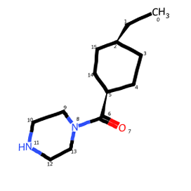 CC[C@H]1CC[C@@H](C(=O)N2CCNCC2)CC1